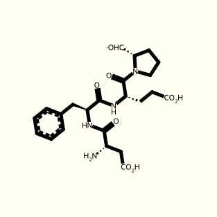 N[C@@H](CC(=O)O)C(=O)N[C@@H](Cc1ccccc1)C(=O)N[C@@H](CCC(=O)O)C(=O)N1CCC[C@H]1[C]=O